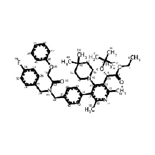 CCOC(=O)[C@@H](OC(C)(C)C)c1c(C)nc(C)c(-c2ccc(CN(Cc3ccc(F)cc3)C(=O)COc3ccccc3)cc2)c1N1CCC(C)(C)CC1